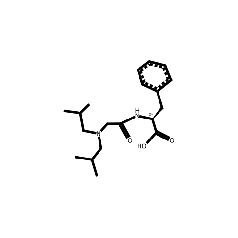 CC(C)CN(CC(=O)N[C@@H](Cc1ccccc1)C(=O)O)CC(C)C